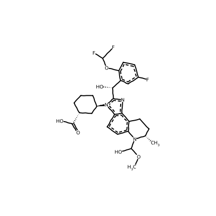 COC(O)N1c2ccc3c(nc([C@H](O)c4cc(F)ccc4OC(F)F)n3[C@@H]3CCC[C@@H](C(=O)O)C3)c2CC[C@@H]1C